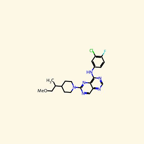 COCC(C)C1CCN(c2ncc3ncnc(Nc4ccc(F)c(Cl)c4)c3n2)CC1